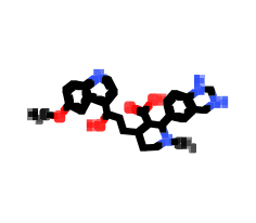 COc1ccc2nccc(C(O)CCC3CCN(C)C(c4ccc5c(c4)CNCN5)C3C(=O)O)c2c1